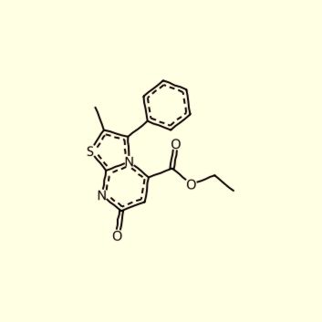 CCOC(=O)c1cc(=O)nc2sc(C)c(-c3ccccc3)n12